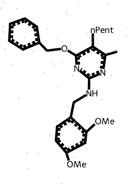 CCCCCc1c(C)nc(NCc2ccc(OC)cc2OC)nc1OCc1ccccc1